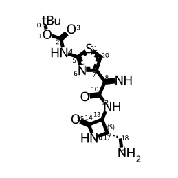 CC(C)(C)OC(=O)Nc1nc(C(=N)C(=O)NC2C(=O)N[C@H]2CN)cs1